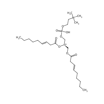 CCCCCC=CCC(=O)OC[C@H](COP(=O)(O)OCC[N+](C)(C)C)OC(=O)CC=CCCCCC